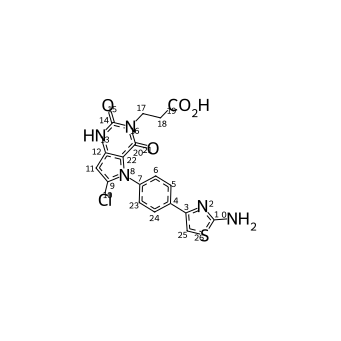 Nc1nc(-c2ccc(-n3c(Cl)cc4[nH]c(=O)n(CCC(=O)O)c(=O)c43)cc2)cs1